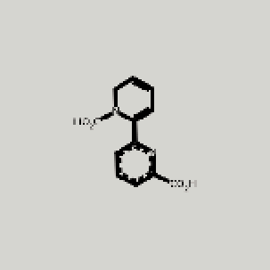 O=C(O)c1cccc(C2=CC=CCN2C(=O)O)n1